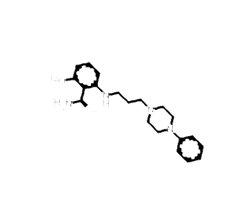 NC(=O)c1c(O)cccc1NCCCN1CCN(c2ccccc2)CC1